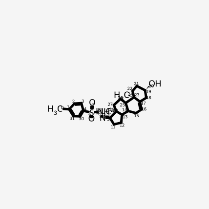 Cc1ccc(S(=O)(=O)N/N=C2/CCC3C4CC=C5C[C@@H](O)CC[C@]5(C)C4CC[C@]23C)cc1